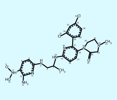 CC(CNc1ccc([NH+]([O-])O)c(N)n1)Nc1ccc(N2CCN(C)CC2=O)c(-c2ccc(Cl)cc2Cl)n1